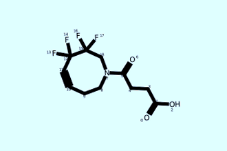 O=C(O)CCC(=O)N1CCC#CC(F)(F)C(F)(F)C1